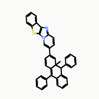 CC12C=C(c3ccc4nc5c6ccccc6sc5n4c3)C=CC1=C(c1ccccc1)c1ccccc1C2c1ccccc1